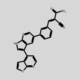 N#C/C(=C\c1cccc(-c2cnc3[nH]cc(-c4ccnc5occc45)c3c2)c1)C(N)=O